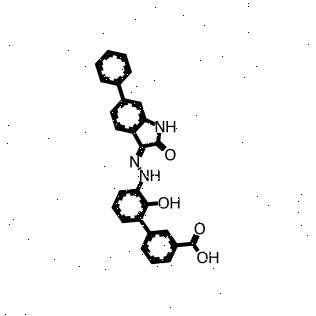 O=C1Nc2cc(-c3ccccc3)ccc2C1=NNc1cccc(-c2cccc(C(=O)O)c2)c1O